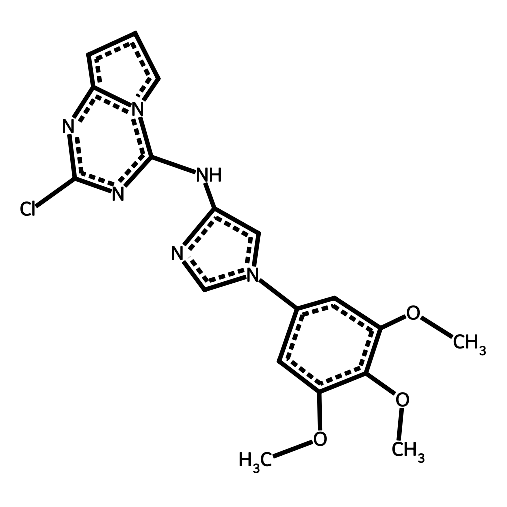 COc1cc(-n2cnc(Nc3nc(Cl)nc4cccn34)c2)cc(OC)c1OC